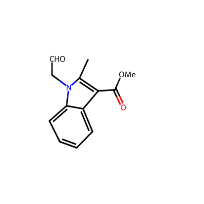 COC(=O)c1c(C)n(CC=O)c2ccccc12